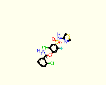 N[C@H](Oc1cc(F)c(S(=O)(=O)Nc2cscn2)cc1Cl)c1ccccc1Cl